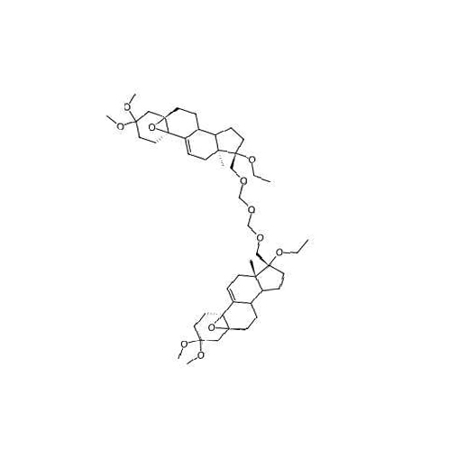 CCO[C@]1(COCOCOC[C@]2(OCC)CCC3C4CC[C@@]56CC(OC)(OC)CC[C@@]5(O6)C4=CC[C@@]32C)CCC2C3CC[C@]45CC(OC)(OC)CC[C@]4(O5)C3=CC[C@@]21C